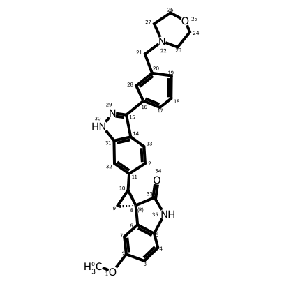 COc1ccc2c(c1)[C@]1(CC1c1ccc3c(-c4cccc(CN5CCOCC5)c4)n[nH]c3c1)C(=O)N2